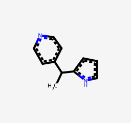 CC(c1ccncc1)c1ccc[nH]1